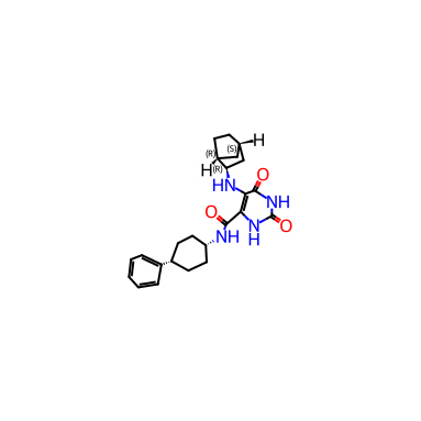 O=C(N[C@H]1CC[C@@H](c2ccccc2)CC1)c1[nH]c(=O)[nH]c(=O)c1N[C@@H]1C[C@H]2CC[C@@H]1C2